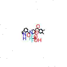 Cc1cc2c(cc1C)C(=O)CC1(CCN(C(=O)c3cccc4cc[nH]c34)CC1)O2.O=C(O)C(F)(F)F